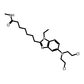 CCn1c(CCCCCCC(=O)NC)nc2cc(N(CCCl)CCCl)ccc21